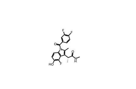 CNC(=O)[C@H](C)c1c(C)n(C(=O)c2ccc(F)c(F)c2)c2ccc(O)c(F)c12